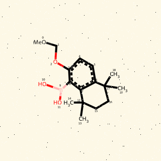 COCOc1ccc2c(c1B(O)O)C(C)(C)CCC2(C)C